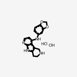 Cl.Cl.c1cc(Nc2ccc3c(c2)OCO3)c2c3c([nH]c2n1)CCNC3